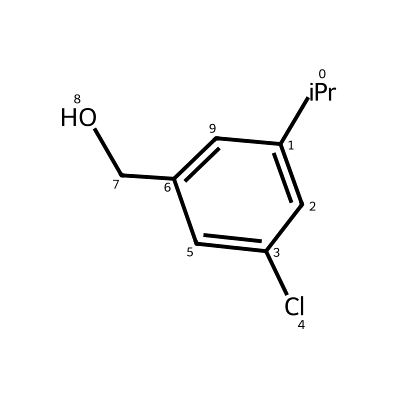 CC(C)c1cc(Cl)cc(CO)c1